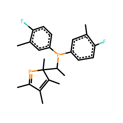 CC1=PC(C)(C(C)P(c2ccc(F)c(C)c2)c2ccc(F)c(C)c2)C(C)=C1C